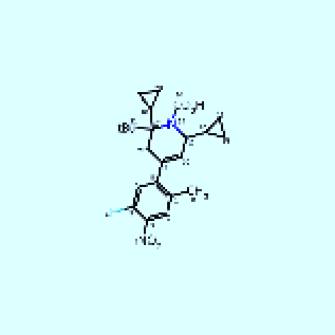 Cc1cc([N+](=O)[O-])c(F)cc1C1=CC(C2CC2)N(C(=O)O)C(C2CC2)(C(C)(C)C)C1